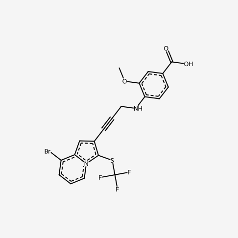 COc1cc(C(=O)O)ccc1NCC#Cc1cc2c(Br)cccn2c1SC(F)(F)F